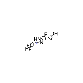 Oc1cccc(-c2cc3nc(/C=C/c4ccc(C(F)(F)F)cc4)[nH]c3cc2F)c1